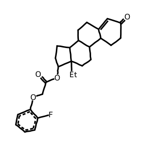 CCC12CCC3C4CCC(=O)C=C4CCC3C1CCC2OC(=O)COc1ccccc1F